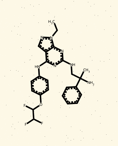 CCn1ncc2c(Nc3ccc(OC(F)C(F)F)cc3)nc(NCC(C)(N)c3ccccc3)nc21